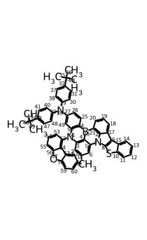 Cc1cc2c3c(c1)-n1c4sc5ccccc5c4c4cccc(c41)B3c1ccc(N(c3ccc(C(C)(C)C)cc3)c3ccc(C(C)(C)C)cc3)cc1N2c1cccc2oc3ccccc3c12